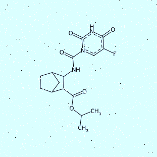 CC(C)OC(=O)C1C2CCC(C2)C1NC(=O)n1cc(F)c(=O)[nH]c1=O